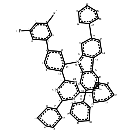 Fc1cc(F)cc(-c2ccc(-c3nc(-c4ccccc4)nc(-c4ccccc4)n3)c(-n3c4cc(-c5ccccc5)ccc4c4ccc(-c5ccccc5)cc43)c2)c1